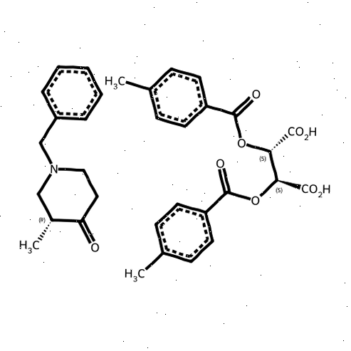 C[C@@H]1CN(Cc2ccccc2)CCC1=O.Cc1ccc(C(=O)O[C@H](C(=O)O)[C@H](OC(=O)c2ccc(C)cc2)C(=O)O)cc1